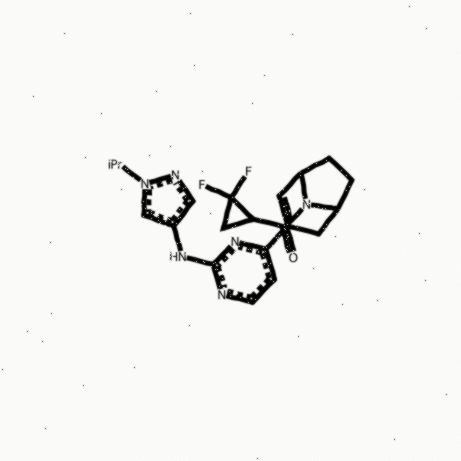 CC(C)n1cc(Nc2nccc(C3=CC4CCC(C3)N4C(=O)C3CC3(F)F)n2)cn1